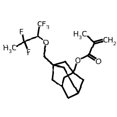 C=C(C)C(=O)OC12CC3CC(CC(COC(C(C)(F)F)C(F)(F)F)(C3)C1)C2